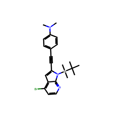 CN(C)c1ccc(C#Cc2cc3c(Br)ccnc3n2[Si](C)(C)C(C)(C)C)cc1